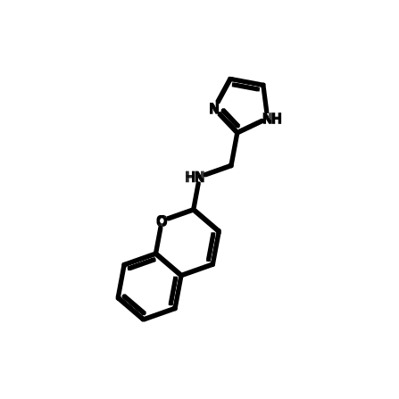 C1=CC(NCc2ncc[nH]2)Oc2ccccc21